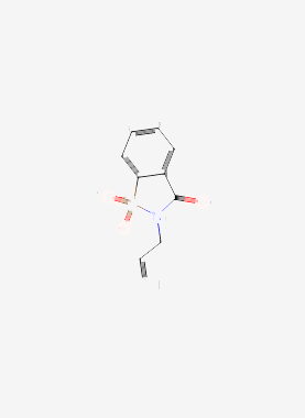 C=CCN1C(=O)c2ccccc2S1(=O)=O